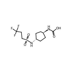 O=C(O)N[C@H]1CC[C@H](NS(=O)(=O)CCC(F)(F)F)CC1